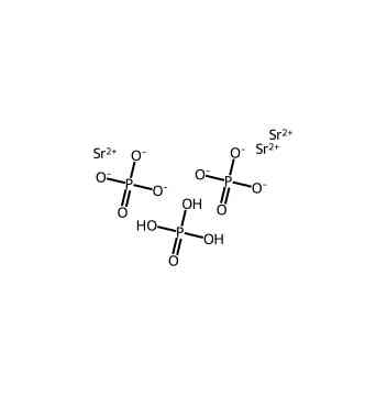 O=P(O)(O)O.O=P([O-])([O-])[O-].O=P([O-])([O-])[O-].[Sr+2].[Sr+2].[Sr+2]